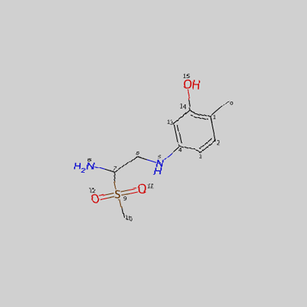 Cc1ccc(NCC(N)S(C)(=O)=O)cc1O